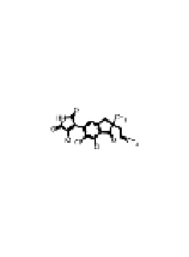 C=CCC1(C)Cc2cc(C3=C(O)C(=O)NC3=O)c(Cl)c(Cl)c2C1=O